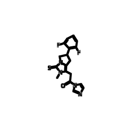 Cn1c(CC(=O)n2ccnc2)c2n(c1=S)CC(c1c(F)cccc1F)C2